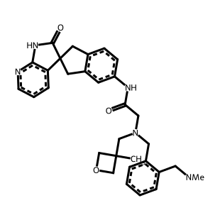 CNCc1ccccc1CN(CC(=O)Nc1ccc2c(c1)CC1(C2)C(=O)Nc2ncccc21)CC1(C)COC1